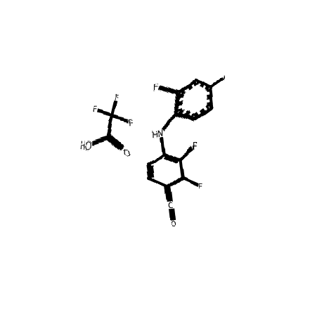 O=C(O)C(F)(F)F.O=C=C1C=CC(Nc2ccc(I)cc2F)=C(F)C1F